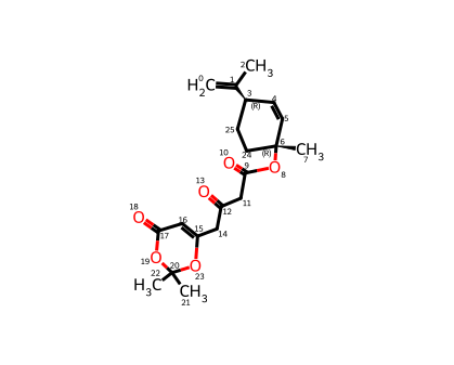 C=C(C)[C@H]1C=C[C@](C)(OC(=O)CC(=O)CC2=CC(=O)OC(C)(C)O2)CC1